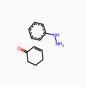 NNc1ccccc1.O=C1C=CCCC1